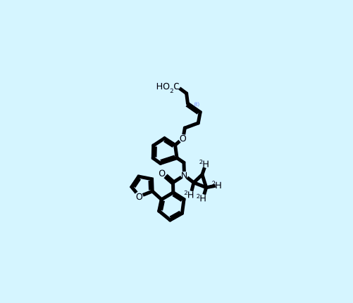 [2H]C1C([2H])([2H])C1([2H])N(Cc1ccccc1OCC/C=C/CC(=O)O)C(=O)c1ccccc1-c1ccco1